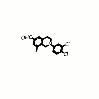 Cc1cc(C=O)cc2c1CN(c1ccc(Cl)c(Cl)c1)CC2